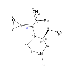 C=C(F)/C(=C1/CO1)N1CCN(I)C[C@@H]1CC#N